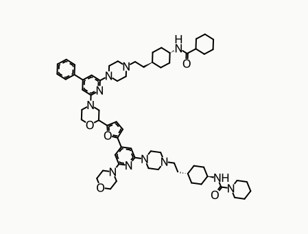 O=C(N[C@H]1CC[C@H](CCN2CCN(c3cc(-c4ccccc4)cc(N4CCOC(c5ccc(-c6cc(N7CCOCC7)nc(N7CCN(CC[C@H]8CC[C@H](NC(=O)N9CCCCC9)CC8)CC7)c6)o5)C4)n3)CC2)CC1)C1CCCCC1